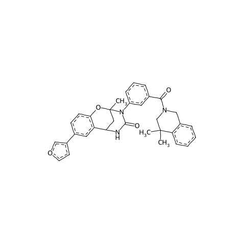 CC1(C)CN(C(=O)c2cccc(N3C(=O)NC4CC3(C)Oc3ccc(-c5ccoc5)cc34)c2)Cc2ccccc21